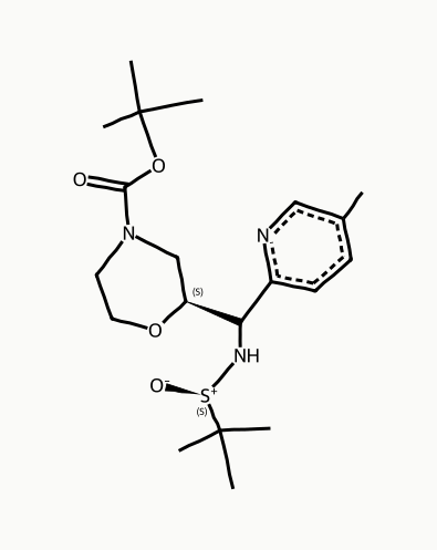 Cc1ccc(C(N[S@+]([O-])C(C)(C)C)[C@@H]2CN(C(=O)OC(C)(C)C)CCO2)nc1